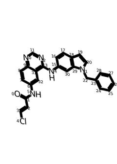 O=C(C=CCl)Nc1ccc2ncnc(Nc3ccc4ccn(Cc5ccccc5)c4c3)c2c1